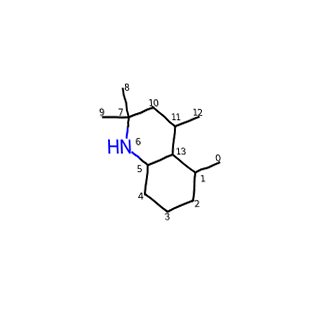 CC1CCCC2NC(C)(C)CC(C)C12